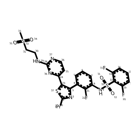 CC(C)c1nc(-c2cccc(NS(=O)(=O)c3c(F)cccc3F)c2F)c(-c2ccnc(NCCS(C)(=O)=O)n2)s1